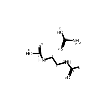 CC(=O)NCCNC(O)=S.NC(O)=S